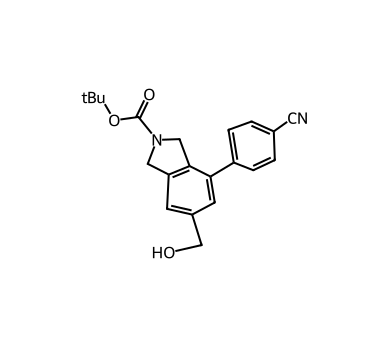 CC(C)(C)OC(=O)N1Cc2cc(CO)cc(-c3ccc(C#N)cc3)c2C1